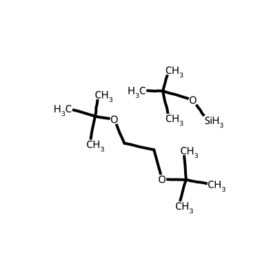 CC(C)(C)OCCOC(C)(C)C.CC(C)(C)O[SiH3]